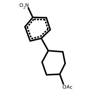 CC(=O)OC1CCC(c2ccc([N+](=O)[O-])cc2)CC1